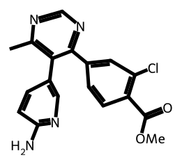 COC(=O)c1ccc(-c2ncnc(C)c2-c2ccc(N)nc2)cc1Cl